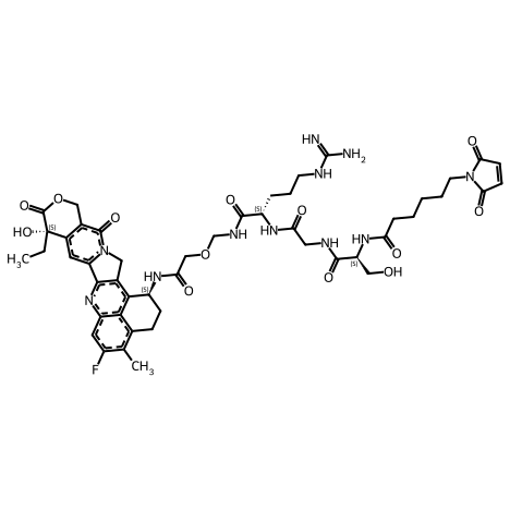 CC[C@@]1(O)C(=O)OCc2c1cc1n(c2=O)Cc2c-1nc1cc(F)c(C)c3c1c2[C@@H](NC(=O)COCNC(=O)[C@H](CCCNC(=N)N)NC(=O)CNC(=O)[C@H](CO)NC(=O)CCCCCN1C(=O)C=CC1=O)CC3